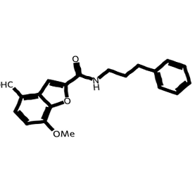 COc1ccc(C=O)c2cc(C(=O)NCCCc3ccccc3)oc12